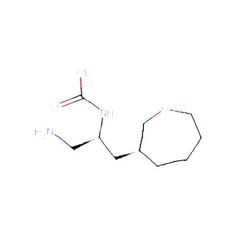 NC[C@H](C[C@@H]1CCCCOC1)NC(=O)O